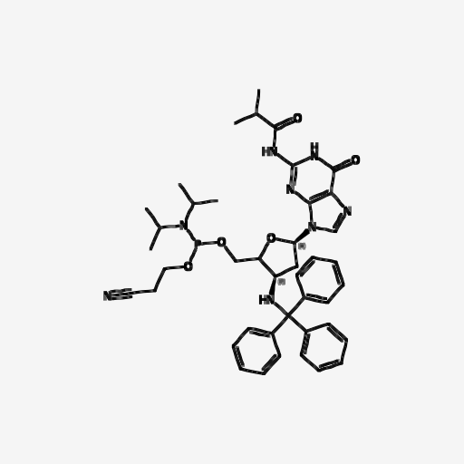 CC(C)C(=O)Nc1nc2c(ncn2[C@H]2C[C@@H](NC(c3ccccc3)(c3ccccc3)c3ccccc3)C(COP(OCCC#N)N(C(C)C)C(C)C)O2)c(=O)[nH]1